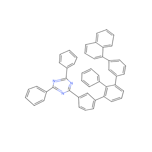 c1ccc(-c2nc(-c3ccccc3)nc(-c3cccc(-c4cccc(-c5cccc(-c6cccc7ccccc67)c5)c4-c4ccccc4)c3)n2)cc1